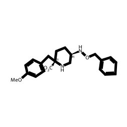 COc1ccc(C[C@]2(C(=O)O)CC[C@@H](NOCc3ccccc3)CN2)cc1